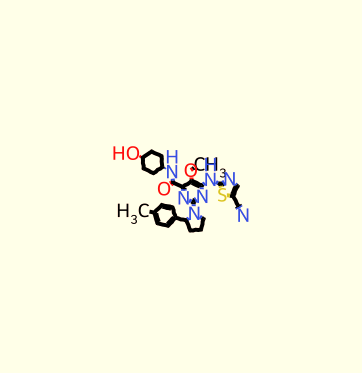 COc1c(Nc2ncc(C#N)s2)nc(N2CCCC2c2ccc(C)cc2)nc1C(=O)N[C@H]1CC[C@H](O)CC1